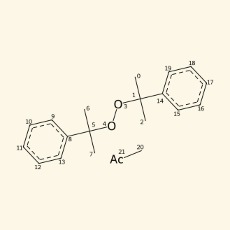 CC(C)(OOC(C)(C)c1ccccc1)c1ccccc1.CC(C)=O